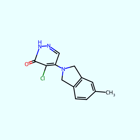 Cc1ccc2c(c1)CN(c1cn[nH]c(=O)c1Cl)C2